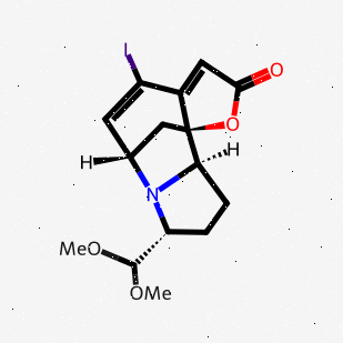 COC(OC)[C@H]1CC[C@H]2N1[C@@H]1C=C(I)C3=CC(=O)O[C@@]32C1